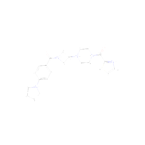 O=C(c1ccc(N2CCCC2)cc1)N1CC(N2CCN(C(=O)c3nccs3)CC2)C1